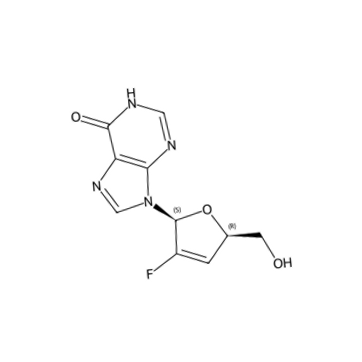 O=c1[nH]cnc2c1ncn2[C@H]1O[C@@H](CO)C=C1F